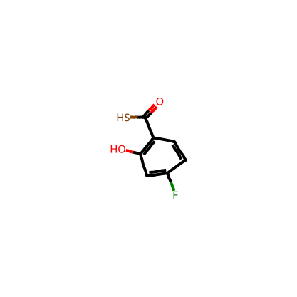 O=C(S)c1ccc(F)cc1O